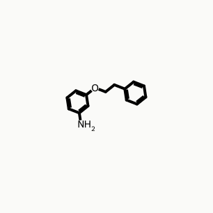 Nc1cccc(OCCc2ccccc2)c1